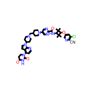 CC1(C)C(NC(=O)c2ncc(N3CCC(CN4CCC(n5ccc6c(N7CCC(=O)NC7=O)ccnc65)CC4)CC3)cn2)C(C)(C)C1Oc1cnc(C#N)c(Cl)c1